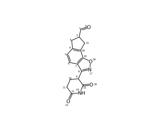 O=CC1Cc2ccc3c(C4CCC(=O)NC4=O)noc3c2C1